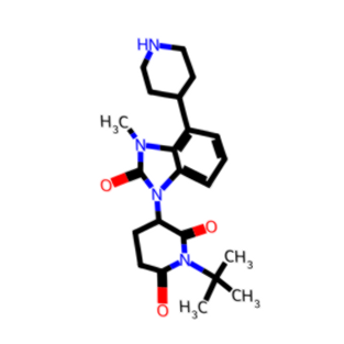 Cn1c(=O)n(C2CCC(=O)N(C(C)(C)C)C2=O)c2cccc(C3CCNCC3)c21